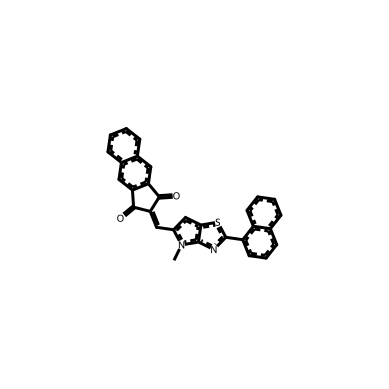 Cn1c(C=C2C(=O)c3cc4ccccc4cc3C2=O)cc2sc(-c3cccc4ccccc34)nc21